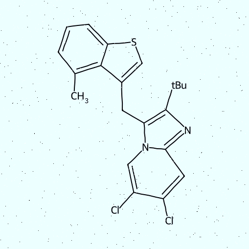 Cc1cccc2scc(Cc3c(C(C)(C)C)nc4cc(Cl)c(Cl)cn34)c12